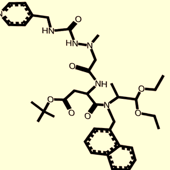 CCOC(OCC)C(C)N(Cc1cccc2ccccc12)C(=O)C(CC(=O)OC(C)(C)C)NC(=O)CN(C)NC(=O)NCc1ccncc1